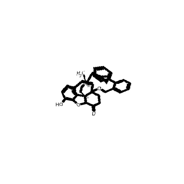 C[N@+]1(CC2CC2)CC[C@]23c4c5ccc(O)c4OC2C(=O)CCC3(OCc2ccccc2-c2ccccc2)C1C5